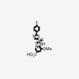 COc1cc(C(=O)O)cnc1NS(=O)(=O)c1cnc(-c2ccc(F)cc2)s1